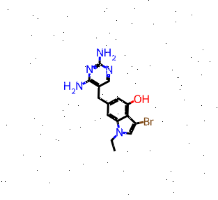 CCn1cc(Br)c2c(O)cc(Cc3cnc(N)nc3N)cc21